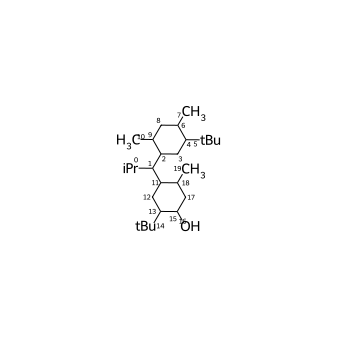 CC(C)C(C1CC(C(C)(C)C)C(C)CC1C)C1CC(C(C)(C)C)C(O)CC1C